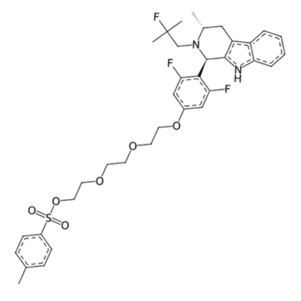 Cc1ccc(S(=O)(=O)OCCOCCOCCOc2cc(F)c([C@@H]3c4[nH]c5ccccc5c4C[C@@H](C)N3CC(C)(C)F)c(F)c2)cc1